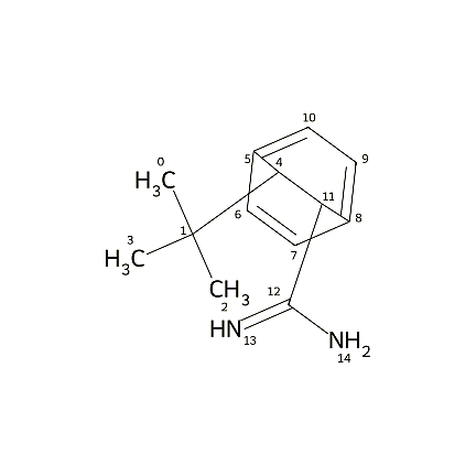 CC(C)(C)C1c2ccc(cc2)C1C(=N)N